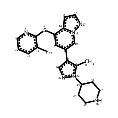 Cc1c(-c2cc(Sc3ncccc3F)c3ccnn3c2)cnn1C1CCNCC1